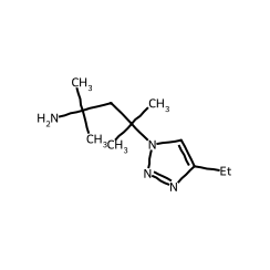 CCc1cn(C(C)(C)CC(C)(C)N)nn1